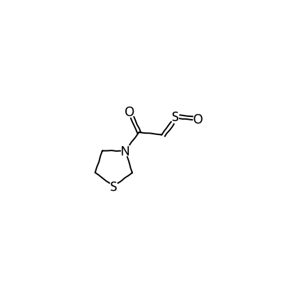 O=S=CC(=O)N1CCSC1